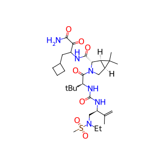 C=C(C)[C@@H](CN(CC)S(C)(=O)=O)NC(=O)N[C@H](C(=O)N1C[C@H]2[C@@H]([C@H]1C(=O)NC(CC1CCC1)C(=O)C(N)=O)C2(C)C)C(C)(C)C